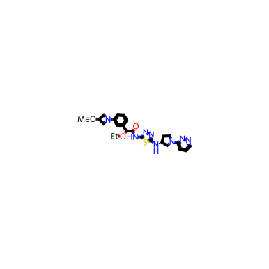 CCOC(C(=O)Nc1nnc(N[C@@H]2CCN(c3cccnn3)C2)s1)c1cccc(N2CC(OC)C2)c1